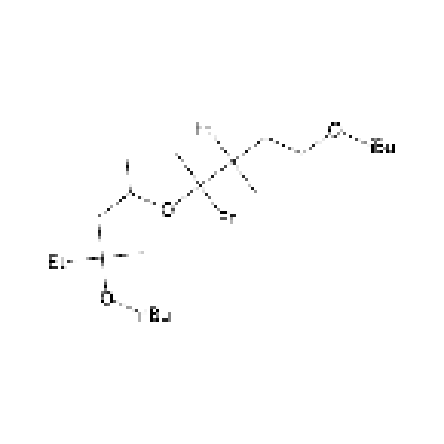 CCCCOC(C)(CC)CC(C)OC(C)(CC)C(C)(CC)CCOC(C)CC